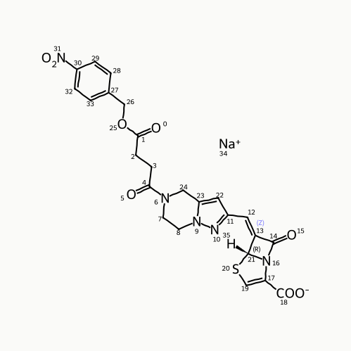 O=C(CCC(=O)N1CCn2nc(/C=C3/C(=O)N4C(C(=O)[O-])=CS[C@H]34)cc2C1)OCc1ccc([N+](=O)[O-])cc1.[Na+]